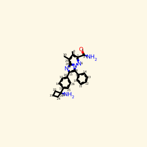 Cc1c(C(N)=O)nn2c(-c3ccccc3)c(-c3ccc(C4(N)CCC4)cc3)nc2c1C